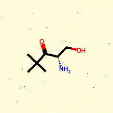 CC(C)(C)C(=O)[C@@H](N)CO